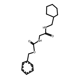 O=C(CNC(=O)OCc1ccccc1)NCC1CCCCC1